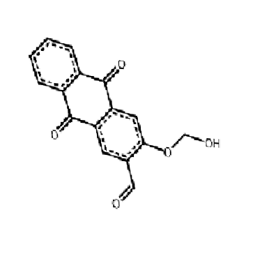 O=Cc1cc2c(cc1OCO)C(=O)c1ccccc1C2=O